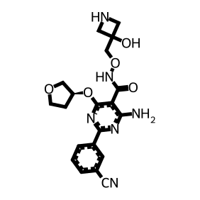 N#Cc1cccc(-c2nc(N)c(C(=O)NOCC3(O)CNC3)c(O[C@H]3CCOC3)n2)c1